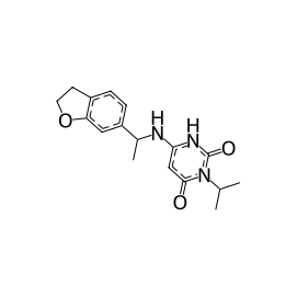 CC(Nc1cc(=O)n(C(C)C)c(=O)[nH]1)c1ccc2c(c1)OCC2